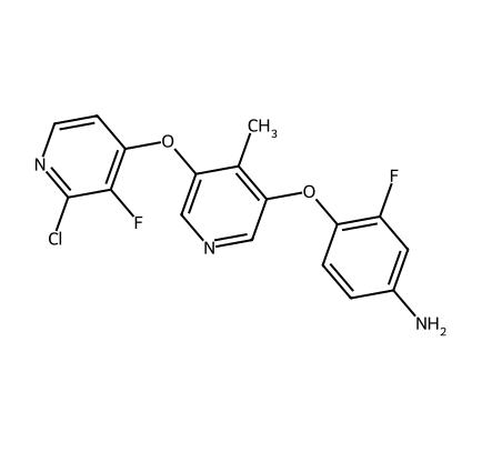 Cc1c(Oc2ccc(N)cc2F)cncc1Oc1ccnc(Cl)c1F